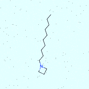 CCCCCCCCC[CH]N1CCC1